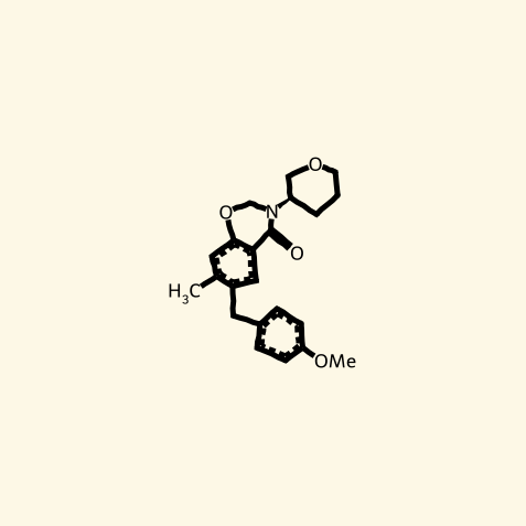 COc1ccc(Cc2cc3c(cc2C)OCN([C@@H]2CCCOC2)C3=O)cc1